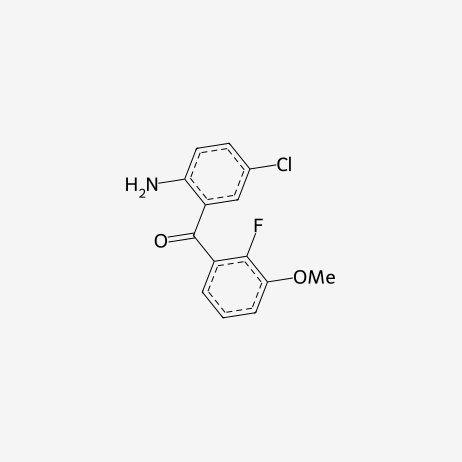 COc1cccc(C(=O)c2cc(Cl)ccc2N)c1F